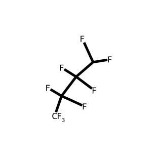 FC(F)C(F)(F)C(F)(F)C(F)(F)F